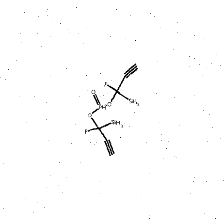 C#CC(F)([SiH3])O[PH](=O)OC(F)([SiH3])C#C